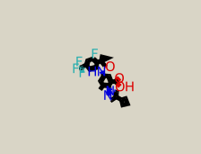 Cc1cc(NC(=O)C2(c3ccc(C(F)(F)F)cc3F)CC2)cc(C(=O)O)c1-n1cc(C2CCC2)cn1